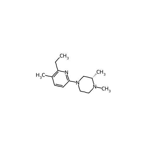 CCc1nc(N2CCN(C)[C@@H](C)C2)ccc1C